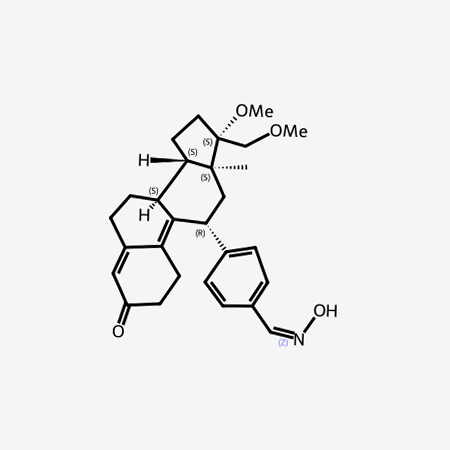 COC[C@]1(OC)CC[C@H]2[C@@H]3CCC4=CC(=O)CCC4=C3[C@@H](c3ccc(/C=N\O)cc3)C[C@@]21C